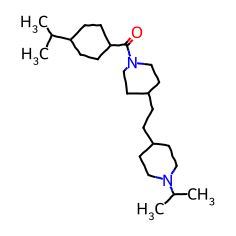 CC(C)C1CCC(C(=O)N2CCC(CCC3CCN(C(C)C)CC3)CC2)CC1